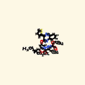 C=C[C@@H]1C[C@]1(CC(=O)[C@@H]1C[C@@H](Oc2nc3ccccc3nc2-c2cccs2)CN1C(=O)[C@@H](NC(=O)OC(C)(C)C)C(C)(C)C)C(=O)OCC